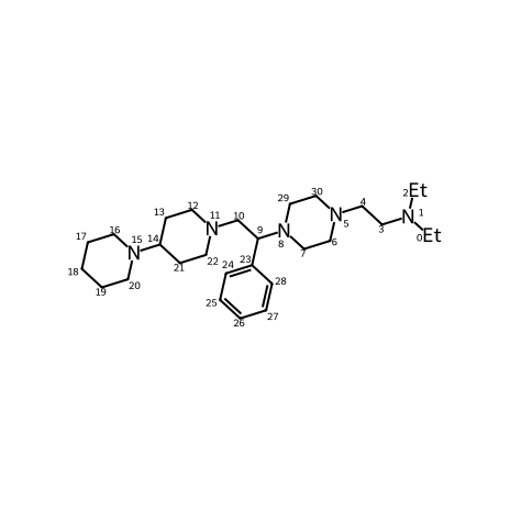 CCN(CC)CCN1CCN(C(CN2CCC(N3CCCCC3)CC2)c2ccccc2)CC1